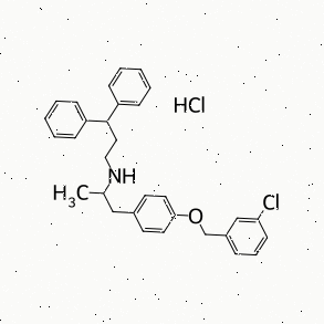 CC(Cc1ccc(OCc2cccc(Cl)c2)cc1)NCCC(c1ccccc1)c1ccccc1.Cl